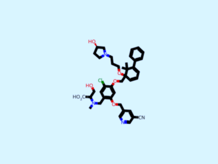 CN(Cc1cc(Cl)c(OCC2(OCCCN3CC[C@@H](O)C3)C=CC=C(c3ccccc3)C2(C)C)cc1OCc1cncc(C#N)c1)C(CO)C(=O)O